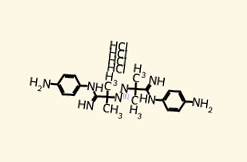 CC(C)(/N=N/C(C)(C)C(=N)Nc1ccc(N)cc1)C(=N)Nc1ccc(N)cc1.Cl.Cl.Cl.Cl